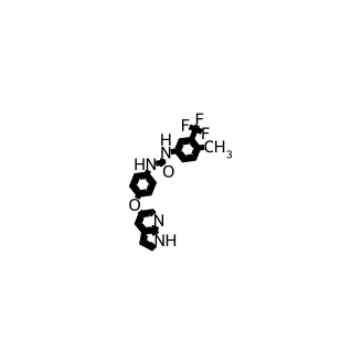 Cc1ccc(NC(=O)Nc2ccc(Oc3cnc4[nH]ccc4c3)cc2)cc1C(F)(F)F